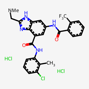 CNCc1nc2c(C(=O)Nc3cccc(Cl)c3C)cc(NC(=O)c3ccccc3C(F)(F)F)cc2[nH]1.Cl.Cl